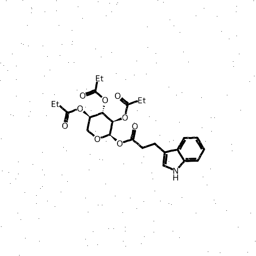 CCC(=O)O[C@@H]1[C@@H](OC(=O)CC)[C@@H](OC(=O)CCc2c[nH]c3ccccc23)OC[C@H]1OC(=O)CC